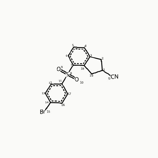 N#CC1Cc2cccc(S(=O)(=O)c3ccc(Br)cc3)c2C1